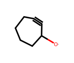 [O]C1C#CCCCC1